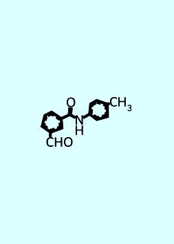 Cc1ccc(NC(=O)c2cccc(C=O)c2)cc1